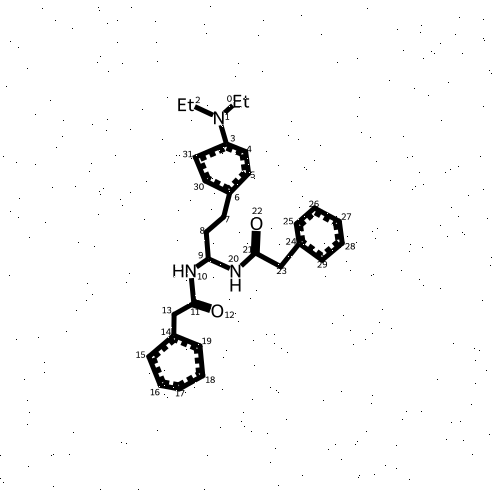 CCN(CC)c1ccc(CCC(NC(=O)Cc2ccccc2)NC(=O)Cc2ccccc2)cc1